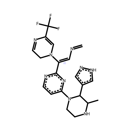 C=N/C=C(/c1nccc(N2CCNC(C)C2c2cn[nH]c2)n1)N1C=C(C(F)(F)F)N=CC1